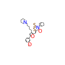 COc1cccc(-c2cc(CCCCCN3CCCCC3)c(/C=C3\SC(=S)N(C4CC5CCC4C5)C3=O)o2)c1